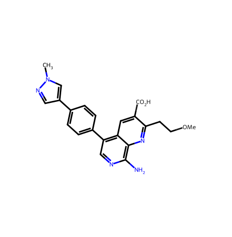 COCCc1nc2c(N)ncc(-c3ccc(-c4cnn(C)c4)cc3)c2cc1C(=O)O